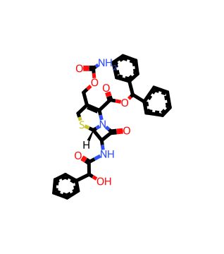 NC(=O)OCC1=C(C(=O)OC(c2ccccc2)c2ccccc2)N2C(=O)C(NC(=O)C(O)c3ccccc3)[C@@H]2SC1